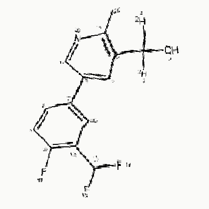 [2H]C([2H])(O)c1cc(-c2ccc(F)c(C(F)F)c2)cnc1C